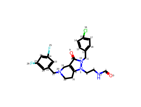 O=CNCCn1c2c(c(=O)n1Cc1ccc(Cl)cc1)CN(Cc1cc(F)cc(F)c1)CC2